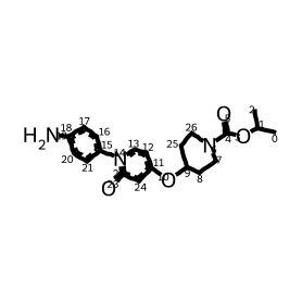 CC(C)OC(=O)N1CCC(Oc2ccn(-c3ccc(N)cc3)c(=O)c2)CC1